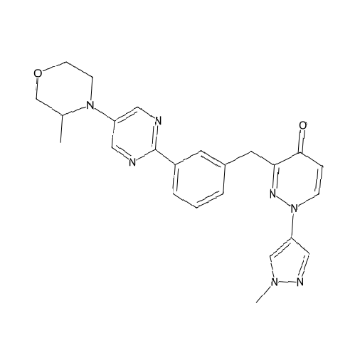 CC1COCCN1c1cnc(-c2cccc(Cc3nn(-c4cnn(C)c4)ccc3=O)c2)nc1